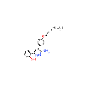 Nc1nnc(-c2ccccc2O)cc1-c1ccc(OCCCCC(=O)O)cc1